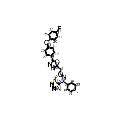 Cn1nnnc1/C(=N\OCc1nnc(-c2ccc(Oc3ccc(F)cc3)cc2)o1)c1ccccc1